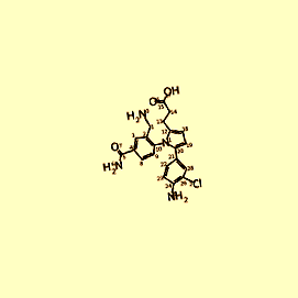 NCc1cc(C(N)=O)ccc1-n1c(CCC(=O)O)ccc1-c1ccc(N)c(Cl)c1